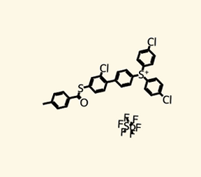 Cc1ccc(C(=O)Sc2ccc(-c3ccc([S+](c4ccc(Cl)cc4)c4ccc(Cl)cc4)cc3)c(Cl)c2)cc1.[F][Sb-]([F])([F])([F])([F])[F]